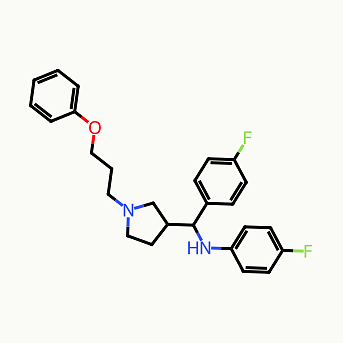 Fc1ccc(NC(c2ccc(F)cc2)C2CCN(CCCOc3ccccc3)C2)cc1